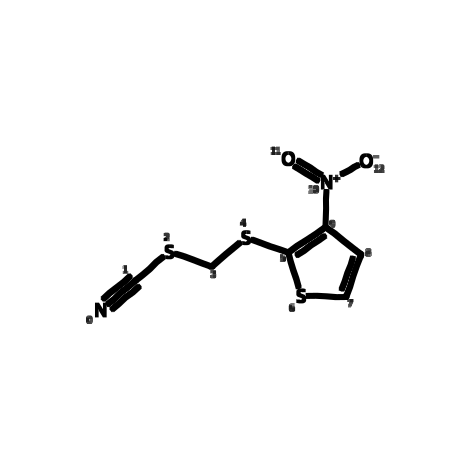 N#CSCSc1sccc1[N+](=O)[O-]